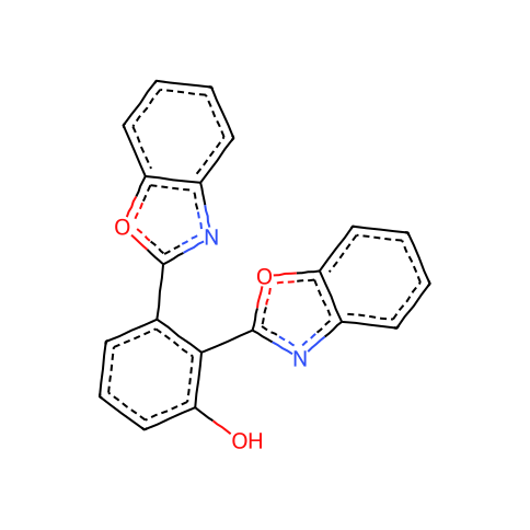 Oc1cccc(-c2nc3ccccc3o2)c1-c1nc2ccccc2o1